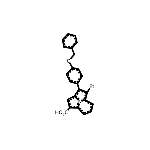 CCc1c(-c2ccc(OCc3ccccc3)cc2)c2cc(C(=O)O)c3cccc1n32